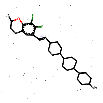 CCCC1CCC(C2CCC(C3CCC(/C=C/c4cc5c(c(F)c4F)OC(CC)CC5)CC3)CC2)CC1